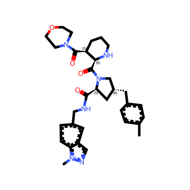 Cc1ccc(C[C@@H]2C[C@@H](C(=O)NCc3ccc4c(cnn4C)c3)N(C(=O)[C@@H]3NCCC[C@@H]3C(=O)N3CCOCC3)C2)cc1